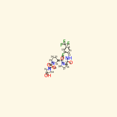 O=C(NCc1ccc(C(F)(F)F)cc1F)[C@H]1CCCN1C(=O)[C@H]1CCCN(S(=O)(=O)N2CC(O)C2)C1